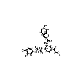 COCC(=O)[C@H]1CC[C@H](NC(=O)C(=O)Nc2ccc(Cl)c(F)c2)[C@H](NC(=O)c2nc3c(s2)CN(C)CC3)C1